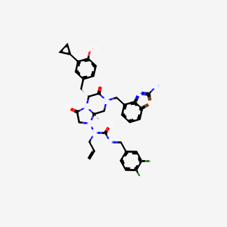 C=CCN(C(=O)NCc1ccc(Cl)c(Cl)c1)N1CC(=O)N2[C@@H](Cc3ccc(O)c(C4CC4)c3)C(=O)N(Cc3cccc4sc(N)nc34)C[C@@H]21